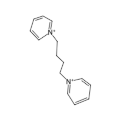 c1cc[n+](CCCC[n+]2ccccc2)cc1